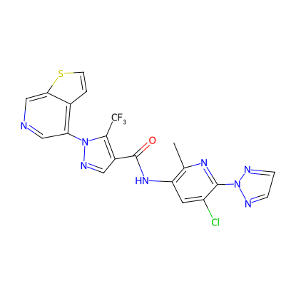 Cc1nc(-n2nccn2)c(Cl)cc1NC(=O)c1cnn(-c2cncc3sccc23)c1C(F)(F)F